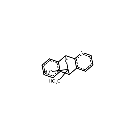 CC1(C(=O)O)CC2c3ccccc3C1c1cccnc12